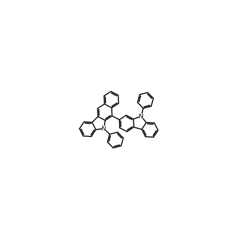 c1ccc(-n2c3ccccc3c3ccc(-c4c5ccccc5cc5c6ccccc6n(-c6ccccc6)c45)cc32)cc1